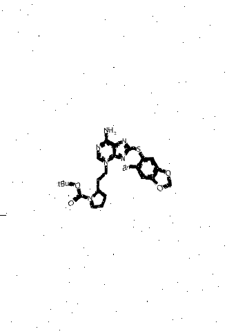 CC(C)(C)OC(=O)N1CCCC1CCn1cnc(N)c2nc(Sc3cc4c(cc3Br)OCO4)nc1-2